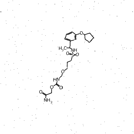 CC(NS(=O)(=O)CCCOCNC(=O)OCC(N)=O)c1cccc(OC2CCCC2)c1